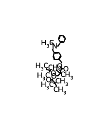 CCC(C)(C)OCC(C)(COC(=O)C(C)(C)CC)C(=O)OCc1ccc(CN(C)Cc2ccccc2)cc1